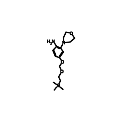 C[Si](C)(C)CCOCOc1ccc(N)c(N2CCOCC2)c1